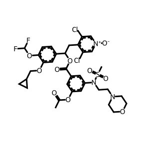 CC(=O)Oc1cc(C(=O)OC(Cc2c(Cl)c[n+]([O-])cc2Cl)c2ccc(OC(F)F)c(OCC3CC3)c2)cc(N(CCN2CCOCC2)S(C)(=O)=O)c1